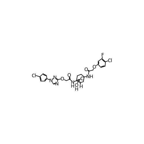 O=C(COc1ccc(Cl)c(F)c1)NC12CCC(NC(=O)COc3ncn(-c4ccc(Cl)cc4)n3)(CC1)[C@@H](O)C2